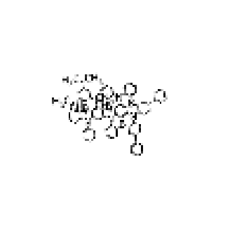 CC(C)c1cc(C(C)C)c(B2c3ccccc3N(c3ccccc3)c3cc4c(cc32)B2c3ccccc3N3c5ccccc5B5c6cc(-c7ccccc7)ccc6N6c7ccc(-c8ccccc8)cc7B7c8ccccc8N4c4c2c3c5c6c47)c(C(C)C)c1